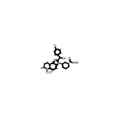 COC(=O)[C@@H]1CCC[C@@H](n2c(C(O)c3ccc(Cl)cc3)nc3c4c(ccc32)N(C(=O)O)[C@@H](C)CC4)C1